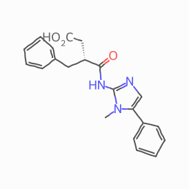 Cn1c(-c2ccccc2)cnc1NC(=O)[C@@H](CC(=O)O)Cc1ccccc1